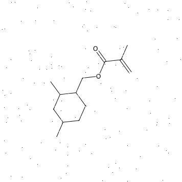 C=C(C)C(=O)OCC1CCC(C)CC1C